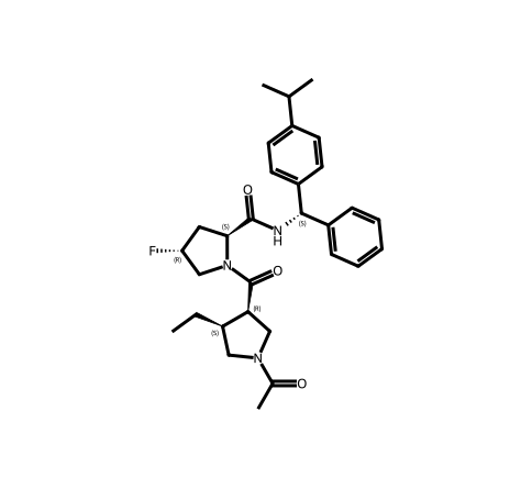 CC[C@@H]1CN(C(C)=O)C[C@@H]1C(=O)N1C[C@H](F)C[C@H]1C(=O)N[C@@H](c1ccccc1)c1ccc(C(C)C)cc1